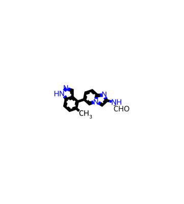 Cc1ccc2[nH]ncc2c1-c1ccc2nc(NC=O)cn2c1